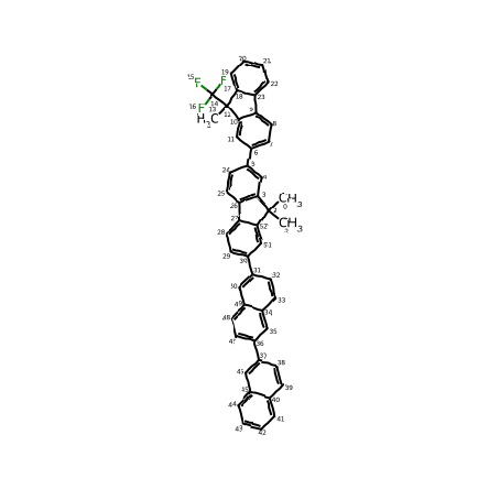 CC1(C)c2cc(-c3ccc4c(c3)C(C)(C(F)(F)F)c3ccccc3-4)ccc2-c2ccc(-c3ccc4cc(-c5ccc6ccccc6c5)ccc4c3)cc21